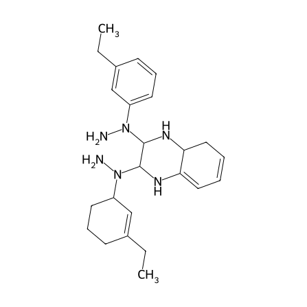 CCC1=CC(N(N)C2NC3=CC=CCC3NC2N(N)c2cccc(CC)c2)CCC1